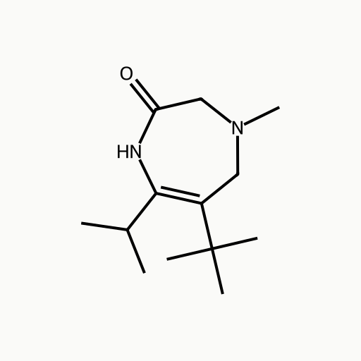 CC(C)C1=C(C(C)(C)C)CN(C)CC(=O)N1